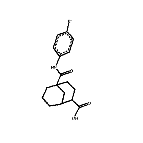 O=C(O)C1CCC2(C(=O)Nc3ccc(Br)cc3)CCCC1C2